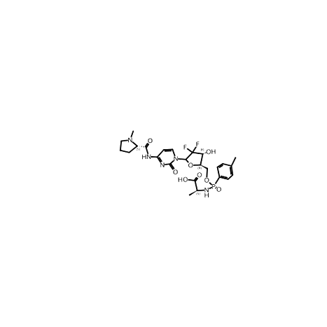 Cc1ccc(P(=O)(N[C@@H](C)C(=O)O)OC[C@H]2OC(n3ccc(NC(=O)[C@@H]4CCCN4C)nc3=O)C(F)(F)[C@@H]2O)cc1